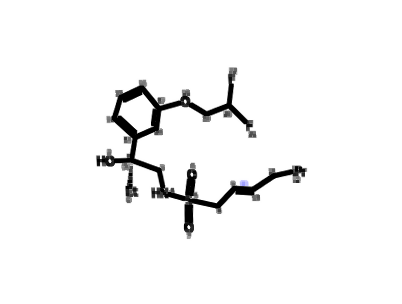 CC[C@@](O)(CNS(=O)(=O)C/C=C/CC(C)C)c1cccc(OCC(F)F)c1